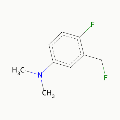 CN(C)c1ccc(F)c(CF)c1